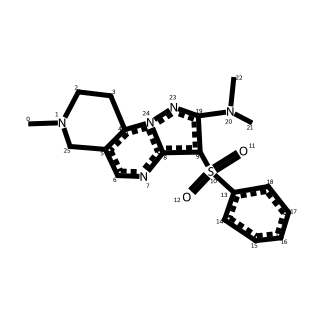 CN1CCc2c(cnc3c(S(=O)(=O)c4ccccc4)c(N(C)C)nn23)C1